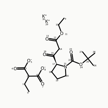 CCC(C(=O)[O-])C(=O)[O-].CCOC(=O)CC(=O)[C@@H]1CCCN1C(=O)OC(C)(C)C.[K+].[K+]